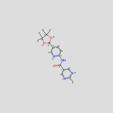 Cc1ncc(C(=O)Nc2ccc(B3OC(C)(C)C(C)(C)O3)cn2)cn1